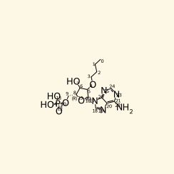 CCCCOC1C(O)[C@@H](COP(=O)(O)O)O[C@H]1n1cnc2c(N)ncnc21